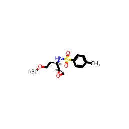 CCCCOCC[C@@H](NS(=O)(=O)c1ccc(C)cc1)[C@@H]1CO1